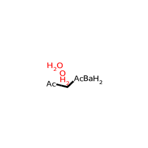 CC(=O)CC(C)=O.O.O.[BaH2]